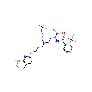 CC(C)(C)OCCN(CCCCc1ccc2c(n1)NCCC2)CCC(NC(=O)c1c(F)cncc1C(F)(F)F)C(=O)O